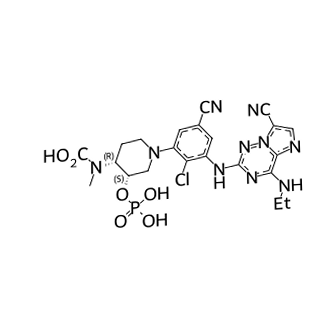 CCNc1nc(Nc2cc(C#N)cc(N3CC[C@@H](N(C)C(=O)O)[C@@H](OP(=O)(O)O)C3)c2Cl)nn2c(C#N)cnc12